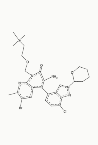 Cc1nc2c(cc1Br)c(-c1ccc(Cl)c3nn(C4CCCCO4)cc13)c(N)c(=O)n2COCC[Si](C)(C)C